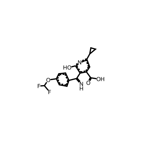 N=C(c1ccc(OC(F)F)cc1)c1c(C(=O)O)cc(C2CC2)nc1O